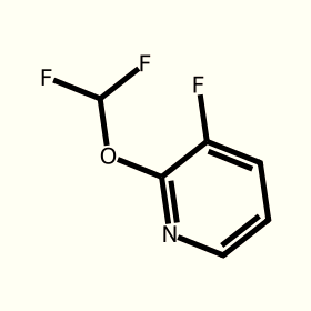 Fc1cccnc1OC(F)F